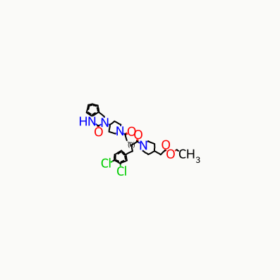 CCOC(=O)CC1CCN(C(=O)[C@@H](CC(=O)N2CCC(N3Cc4ccccc4NC3=O)CC2)Cc2ccc(Cl)c(Cl)c2)CC1